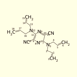 C=CCN(CC=C)c1nc(C#N)c(N(CC=C)CC=C)nc1C#N